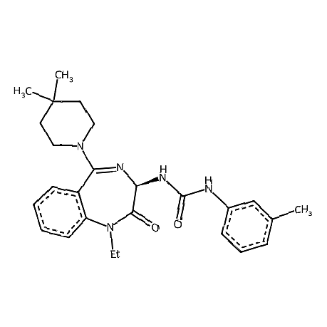 CCN1C(=O)[C@H](NC(=O)Nc2cccc(C)c2)N=C(N2CCC(C)(C)CC2)c2ccccc21